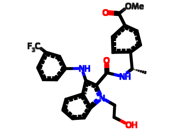 COC(=O)c1ccc([C@H](C)NC(=O)c2c(Nc3cccc(C(F)(F)F)c3)c3ccccc3n2CCO)cc1